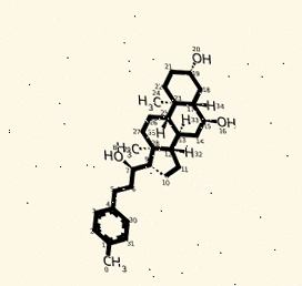 Cc1ccc(CC[C@@H](O)[C@H]2CC[C@H]3[C@@H]4C[C@H](O)[C@H]5C[C@@H](O)CC[C@]5(C)[C@H]4CC[C@]23C)cc1